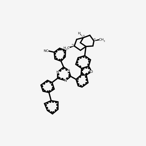 C[C@@H]1C[C@@H]2C[C@H](C)CC(c3ccc4c(c3)oc3cccc(-c5nc(-c6cccc(C#N)c6)nc(-c6cccc(-c7ccccc7)c6)n5)c34)(C1)C2